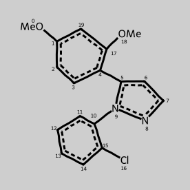 COc1ccc(-c2ccnn2-c2ccccc2Cl)c(OC)c1